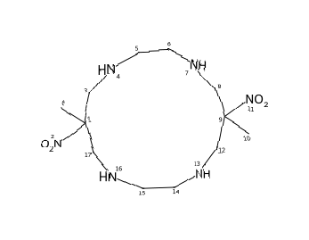 CC1([N+](=O)[O-])CNCCNCC(C)([N+](=O)[O-])CNCCNC1